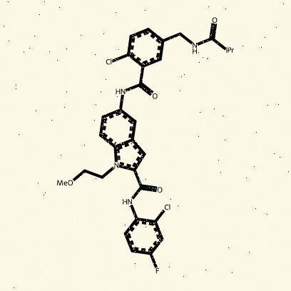 COCCn1c(C(=O)Nc2ccc(F)cc2Cl)cc2cc(NC(=O)c3cc(CNC(=O)C(C)C)ccc3Cl)ccc21